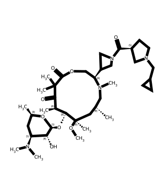 CO[C@]1(C)C[C@@H](C)CN(C)[C@H](C2CN(C(=O)[C@H]3CCN(CC4CC4)C3)C2)COC(=O)C(C)(C)C(=O)[C@H](C)[C@H]1O[C@@H]1O[C@H](C)C[C@H](N(C)C)[C@H]1O